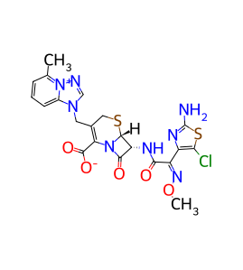 CO/N=C(\C(=O)N[C@@H]1C(=O)N2C(C(=O)[O-])=C(Cn3cn[n+]4c(C)cccc34)CS[C@H]12)c1nc(N)sc1Cl